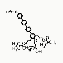 C=C(C)C(=O)OCCCc1cc(-c2ccc(C3=CCC(c4ccc(CCCCC)cc4)C=C3)cc2)cc(CCCOC(=O)C(=C)C)c1OCCC(CO)(CO)CCC